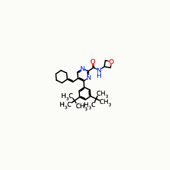 CC(C)(C)c1cc(-c2nc(C(=O)NC3COC3)ncc2C=C2CCCCC2)cc(C(C)(C)C)c1